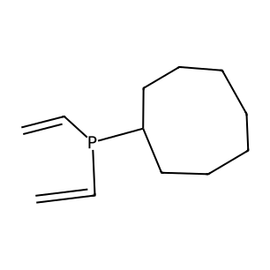 C=CP(C=C)C1CCCCCCC1